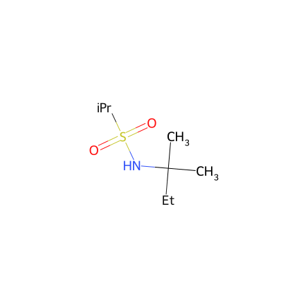 CCC(C)(C)NS(=O)(=O)C(C)C